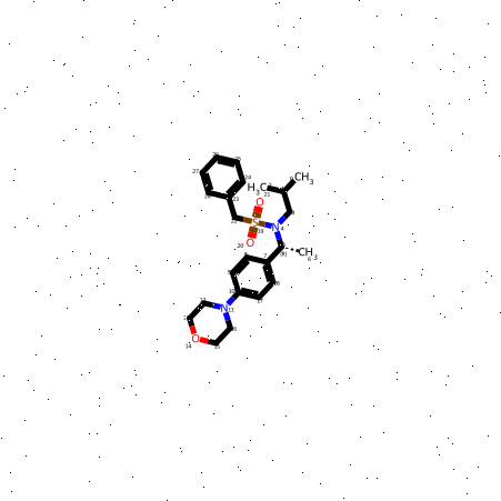 CC(C)CN([C@H](C)c1ccc(N2CCOCC2)cc1)S(=O)(=O)Cc1ccccc1